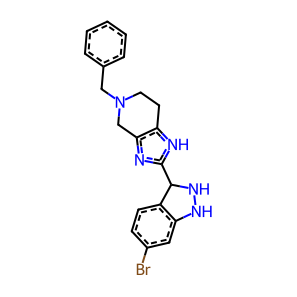 Brc1ccc2c(c1)NNC2c1nc2c([nH]1)CCN(Cc1ccccc1)C2